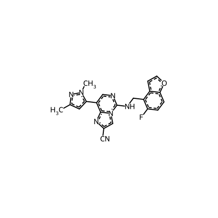 Cc1cc(-c2cnc(NCc3c(F)ccc4occc34)n3cc(C#N)nc23)n(C)n1